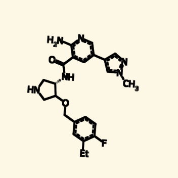 CCc1cc(COC2CNC[C@@H]2NC(=O)c2cc(-c3cnn(C)c3)cnc2N)ccc1F